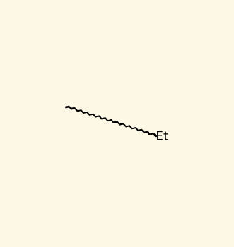 C=CC=CCCCCCCCCCCCCC=CC=CCCCCCCCC=CC=CCC